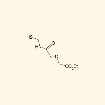 CCOC(=O)COCC(=O)NCS